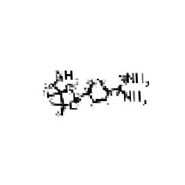 CC1(C)OB(c2ccc(/C(N)=N/N)nc2)OC1(C)CN